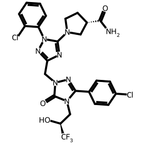 NC(=O)[C@H]1CCN(c2nc(Cn3nc(-c4ccc(Cl)cc4)n(C[C@H](O)C(F)(F)F)c3=O)nn2-c2ccccc2Cl)C1